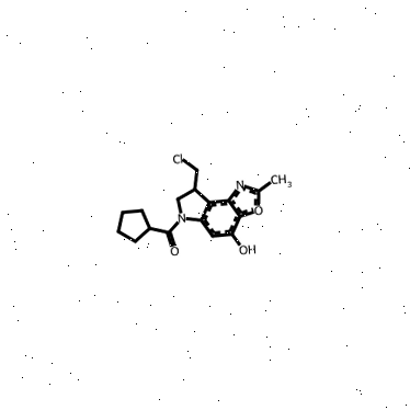 Cc1nc2c3c(cc(O)c2o1)N(C(=O)C1CCCC1)CC3CCl